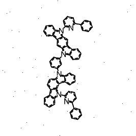 c1ccc(-c2cccc(-n3c4ccccc4c4cc5c(cc43)c3ccccc3n5-c3cccc(-n4c5ccccc5c5c4ccc4c6ccccc6n(-c6cccc(-c7ccccc7)n6)c45)c3)n2)cc1